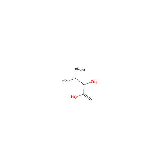 C=C(O)C(O)C([CH]CCCC)CCC